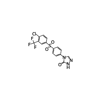 O=c1[nH]ncn1-c1ccc(S(=O)(=O)c2ccc(Cl)c(C(F)(F)F)c2)cc1